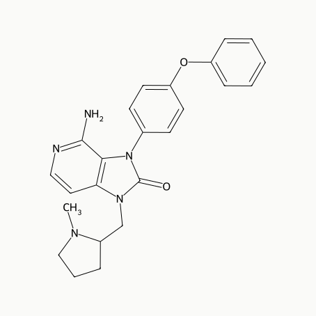 CN1CCCC1Cn1c(=O)n(-c2ccc(Oc3ccccc3)cc2)c2c(N)nccc21